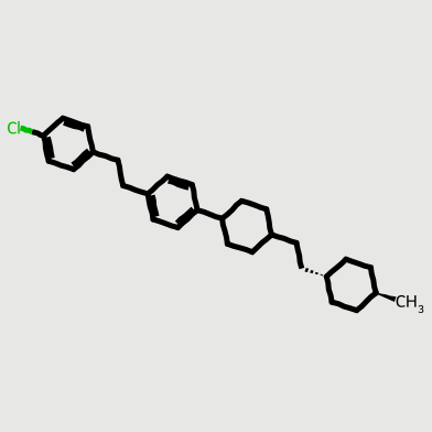 C[C@H]1CC[C@H](CCC2CCC(c3ccc(CCc4ccc(Cl)cc4)cc3)CC2)CC1